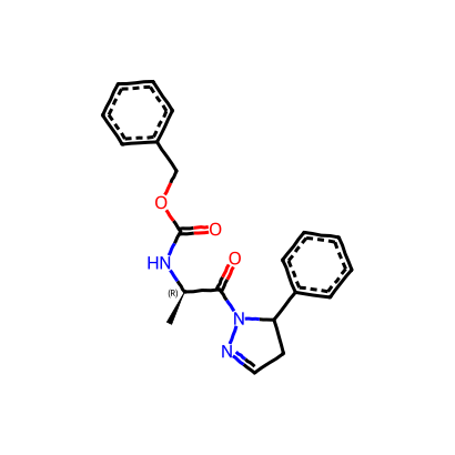 C[C@@H](NC(=O)OCc1ccccc1)C(=O)N1N=CCC1c1ccccc1